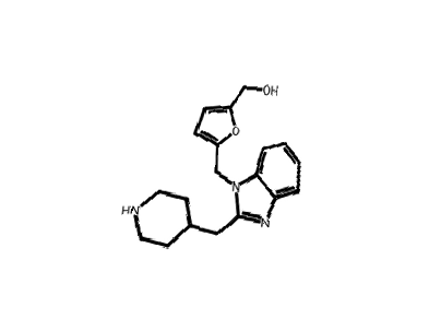 OCc1ccc(Cn2c(CC3CCNCC3)nc3ccccc32)o1